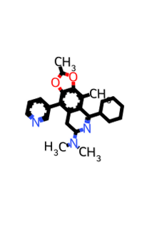 Cc1c2c(c(-c3cccnc3)c3c1C(C1CCCCC1)=NC(N(C)C)C3)OC(C)O2